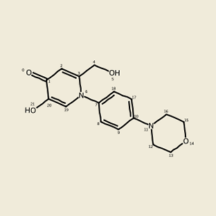 O=c1cc(CO)n(-c2ccc(N3CCOCC3)cc2)cc1O